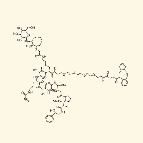 CC[C@H](C)[C@@H]([C@@H](CC(=O)N1CCC[C@H]1[C@H](OC)[C@@H](C)C(=O)N[C@H](C)[C@@H](O)c1ccccc1)OC)N(C)C(=O)[C@@H](NC(=O)[C@H](C(C)C)N(C)C(=O)[C@H](CCCNC(N)=O)NC(=O)[C@@H](NC(=O)[C@@H](CCCCNC(=O)COC1CCCCC/C(N[C@@H]2O[C@H](CO)[C@H](O)[C@H](O)[C@H]2O)=C\1N)NC(=O)CCOCCOCCOCCOCCNC(=O)CCC(=O)N1Cc2ccccc2C#Cc2ccccc21)C(C)C)C(C)C